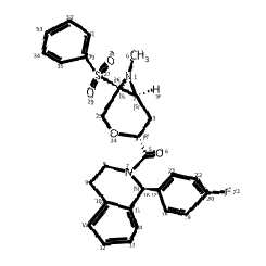 CN1[C@H]2C[C@H](C(=O)N3CCc4ccccc4[C@@H]3c3ccc(F)cc3)OC[C@@]21S(=O)(=O)c1ccccc1